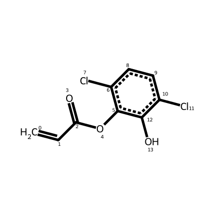 C=CC(=O)Oc1c(Cl)ccc(Cl)c1O